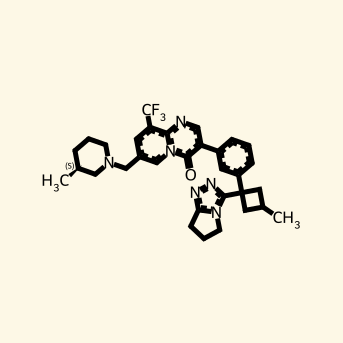 CC1CC(c2cccc(-c3cnc4c(C(F)(F)F)cc(CN5CCC[C@H](C)C5)cn4c3=O)c2)(c2nnc3n2CCC3)C1